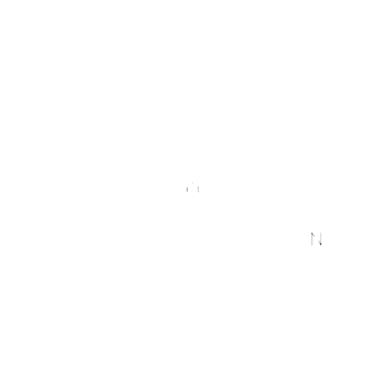 CC(OCC1CCCC1)c1ccncc1